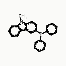 Cn1c2ccccc2c2cc(P(c3ccccc3)c3ccccc3)ccc21